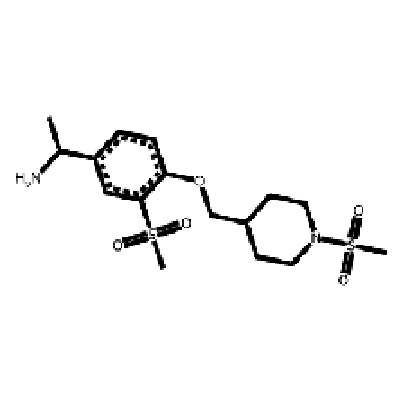 CC(N)c1ccc(OCC2CCN(S(C)(=O)=O)CC2)c(S(C)(=O)=O)c1